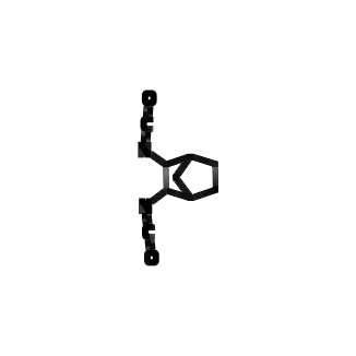 O=C=NC1C2CCC(C2)C1N=C=O